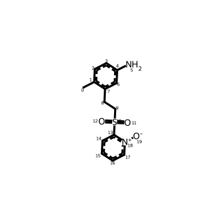 Cc1ccc(N)cc1CCS(=O)(=O)c1cccc[n+]1[O-]